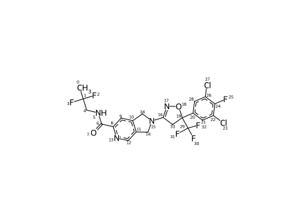 CC(F)(F)CNC(=O)c1cc2c(cn1)CN(C1=NOC(c3cc(Cl)c(F)c(Cl)c3)(C(F)(F)F)C1)C2